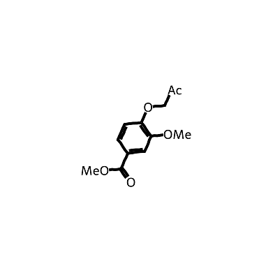 COC(=O)c1ccc(OCC(C)=O)c(OC)c1